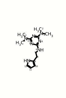 CN(C)c1nc(NCCc2ccc[nH]2)nc(N(C)C)n1